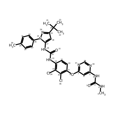 CNC(=O)Nc1cc(Oc2ccc(NC(=O)Nc3cc(C(C)(C)C)nn3-c3ccc(C)cc3)c(Cl)c2Cl)ncn1